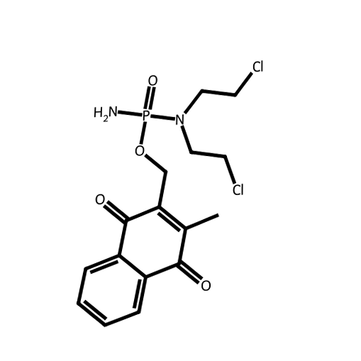 CC1=C(COP(N)(=O)N(CCCl)CCCl)C(=O)c2ccccc2C1=O